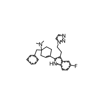 CN(C)C1(Cc2ccccc2)CC=C(c2[nH]c3ccc(F)cc3c2CCn2ccnn2)CC1